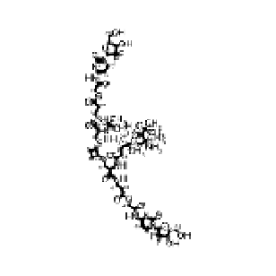 CC(C)(C)NC(CSC1CCC1SCC(NC(=O)CCC(C)(C)OCC(C)(N)C(=O)C(C)(C)C)C(=O)NCCC(=O)OCC(=O)Nc1ccn([C@H]2O[C@@H](CO)[C@H](O)C2(F)F)c(=O)n1)C(=O)NCCC(=O)OCC(=O)Nc1ccn([C@H]2O[C@@H](CO)[C@H](O)C2(F)F)c(=O)n1